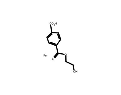 O=C(O)c1ccc(C(=O)OCCO)cc1.[Fe]